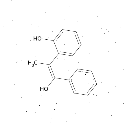 CC(=C(O)c1ccccc1)c1ccccc1O